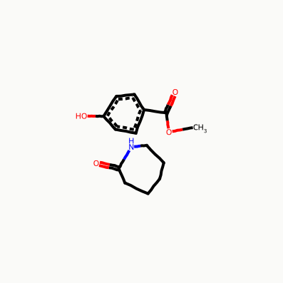 COC(=O)c1ccc(O)cc1.O=C1CCCCCN1